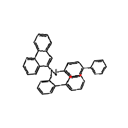 c1ccc(-c2ccc(N(c3ccccc3-c3ccccc3)c3cc4ccccc4c4ccccc34)cc2)cc1